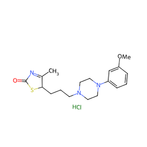 COc1cccc(N2CCN(CCCC3SC(=O)N=C3C)CC2)c1.Cl